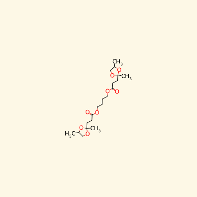 CC1COC(C)(CCC(=O)OCCCCOC(=O)CCC2(C)OCC(C)O2)O1